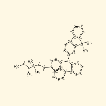 COC(C)C(C)(C)OBc1ccc(N(c2ccc3c(c2)C(C)(C)c2ccccc2-3)c2ccccc2-c2ccccc2)cc1